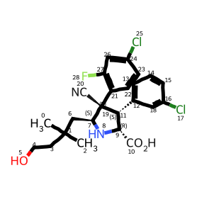 CC(C)(CCO)C[C@@H]1N[C@@H](C(=O)O)[C@@H](c2cccc(Cl)c2)[C@@]1(C#N)c1ccc(Cl)cc1F